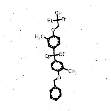 CCC(O)(CC)COc1ccc(C(CC)(CC)c2ccc(OCc3ccccc3)c(C)c2)cc1C